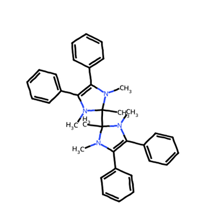 CN1C(c2ccccc2)=C(c2ccccc2)N(C)C1(C)C1(C)N(C)C(c2ccccc2)=C(c2ccccc2)N1C